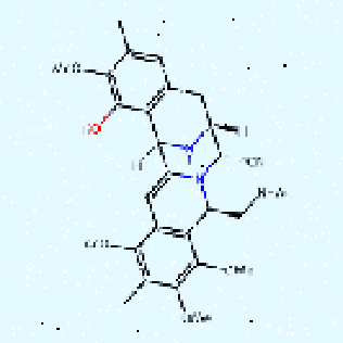 COc1c(C)cc2c(c1O)[C@@H]1C3=Cc4c(OC(C)=O)c(C)c(OC)c(OC)c4[C@H](CNC(C)=O)N3[C@@H](C#N)[C@@H](C2)N1C